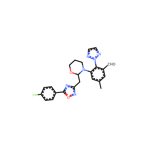 Cc1cc(C=O)c(-n2nccn2)c(N2CCCOC2Cc2noc(-c3ccc(F)cc3)n2)c1